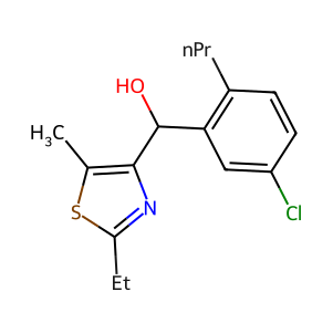 CCCc1ccc(Cl)cc1C(O)c1nc(CC)sc1C